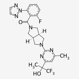 Cc1cc(C(C)(O)C(F)(F)F)nc(N2C[C@H]3CN(C(=O)c4c(F)cccc4-n4nccn4)C[C@H]3C2)n1